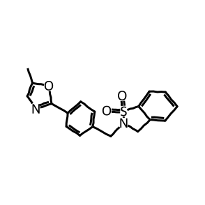 Cc1cnc(-c2ccc(CN3Cc4ccccc4S3(=O)=O)cc2)o1